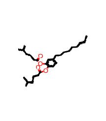 CCCCCCCCCc1ccc(OC(=O)CCCC(C)C)c(OC(=O)CCCC(C)C)c1